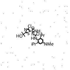 CNc1cc(C(C)C)c(NC(=O)N=S(N)(=O)c2sc(C(C)(C)O)nc2Cl)c(C(C)C)c1